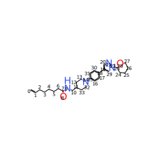 C=CCCCCCC(=O)NCC1CCN(c2ccc(-c3cnn(C4CCCCO4)c3)cc2)CC1